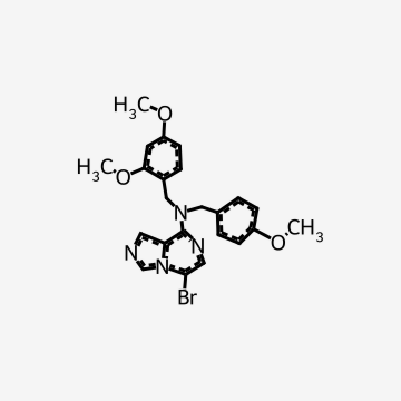 COc1ccc(CN(Cc2ccc(OC)cc2OC)c2ncc(Br)n3cncc23)cc1